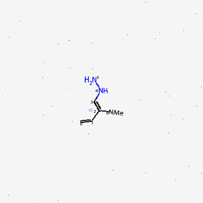 C=C/C(=C/NN)NC